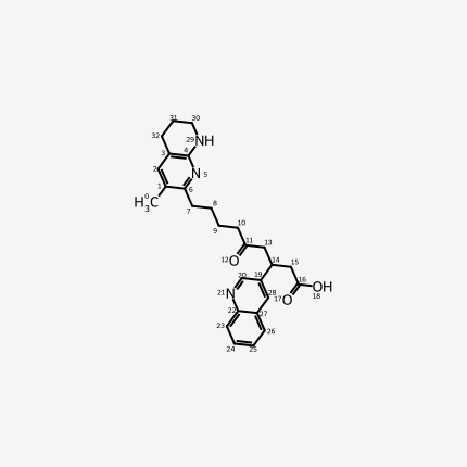 Cc1cc2c(nc1CCCCC(=O)CC(CC(=O)O)c1cnc3ccccc3c1)NCCC2